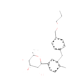 CS[C@H]1OC(c2ccc(C)c(Cc3ccc(COCCC(=O)O)cc3)c2)[C@H](O)[C@@H](O)[C@@H]1O